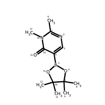 Cc1ncc(B2OC(C)(C)C(C)(C)O2)c(=O)n1C